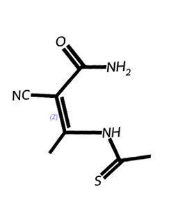 CC(=S)N/C(C)=C(/C#N)C(N)=O